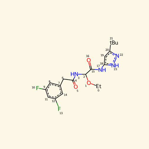 CCOC(NC(=O)Cc1cc(F)cc(F)c1)C(=O)Nc1cc(C(C)(C)C)n[nH]1